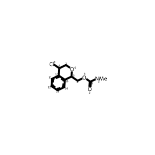 CNC(=O)OCC1OCC(Cl)c2ccccc21